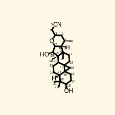 C[C@@H]1CC(CC#N)OC2[C@H]1C1(C)CCC34CC35CCC(O)C(C)(C)[C@@H]5CCC4[C@]1(C)[C@H]2O